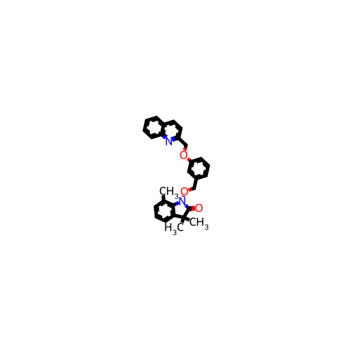 Cc1cccc2c1N(OCc1cccc(OCc3ccc4ccccc4n3)c1)C(=O)C2(C)C